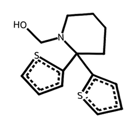 OCN1CCCCC1(c1cccs1)c1cccs1